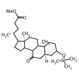 COC(=O)CC[C@@H](C)C1CCC2C3C(=O)C[C@@H]4CC(O[Si](C)(C)C)CC[C@]4(C)C3CC[C@@]21C